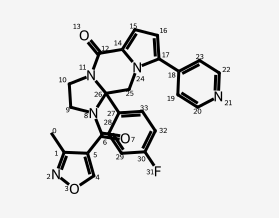 Cc1nocc1C(=O)N1CCN2C(=O)c3ccc(-c4ccncc4)n3CC12c1ccc(F)cc1